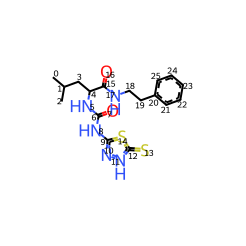 CC(C)CC(NC(=O)Nc1n[nH]c(=S)s1)C(=O)NCCc1ccccc1